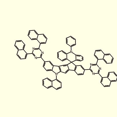 c1ccc(N2c3ccccc3C3(c4cc(-c5nc(-c6cccc7ccccc67)nc(-c6cccc7ccccc67)n5)ccc4-c4cc5c(cc43)c3cc(-c4nc(-c6cccc7ccccc67)nc(-c6cccc7ccccc67)n4)ccc3n5-c3cccc4ccccc34)c3ccccc32)cc1